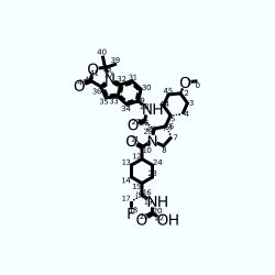 CO[C@H]1CC[C@H]([C@@H]2CCN(C(=O)C3CCC([C@@H](CF)NC(=O)O)CC3)[C@@H]2C(=O)Nc2ccc3c(c2)cc2n3C(C)(C)OC2=O)CC1